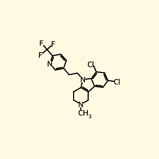 CN1CCc2c(c3cc(Cl)cc(Cl)c3n2CCc2ccc(C(F)(F)F)nc2)C1